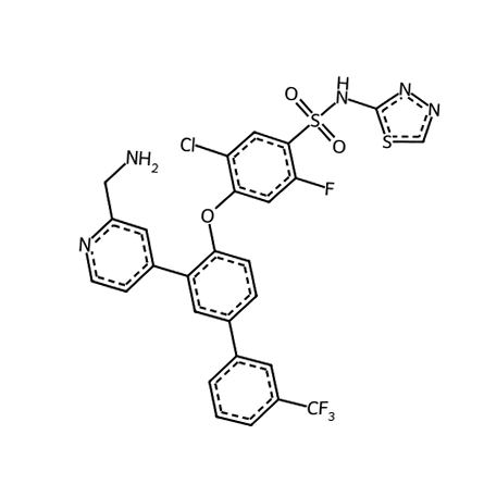 NCc1cc(-c2cc(-c3cccc(C(F)(F)F)c3)ccc2Oc2cc(F)c(S(=O)(=O)Nc3nncs3)cc2Cl)ccn1